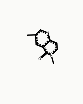 Cc1cnc2ccn(C)c(=O)c2c1